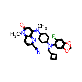 CN(c1cc(=O)n(C)c2ccc(C#N)nc12)C1CCC(N(CC2CCC2)c2cc3c(cc2F)OCO3)CC1